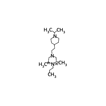 CCCN1[C@H](C)CN(CCC2CCN(C(C)C)CC2)C[C@H]1C